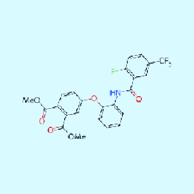 COC(=O)c1ccc(Oc2ccccc2NC(=O)c2cc(C(F)(F)F)ccc2F)cc1C(=O)OC